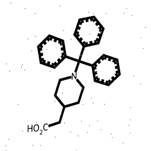 O=C(O)CC1CCN(C(c2ccccc2)(c2ccccc2)c2ccccc2)CC1